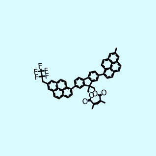 C=C(C)C(=O)OCC1(COC(=O)C(=C)C)c2cc(-c3ccc4ccc5cc(C)cc6ccc3c4c56)ccc2-c2ccc(-c3ccc4ccc5cc(CC(F)(F)C(F)(F)F)cc6ccc3c4c56)cc21